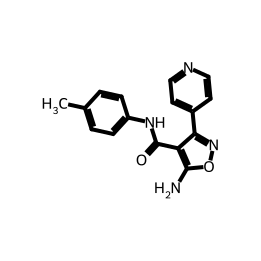 Cc1ccc(NC(=O)c2c(-c3ccncc3)noc2N)cc1